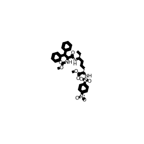 CC[C@@H](CCC[C@H](NS(=O)(=O)c1ccc([N+](=O)[O-])cc1)C(=O)OC)NC(=O)C(NC(=O)OC)C(c1ccccc1)c1ccccc1